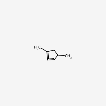 CC1=C=CC(C)C1